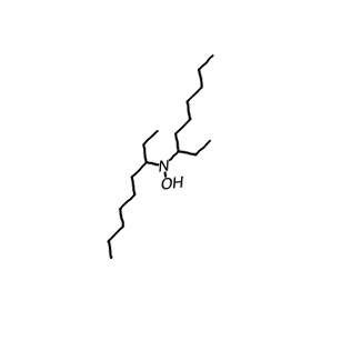 CCCCCCC(CC)N(O)C(CC)CCCCCC